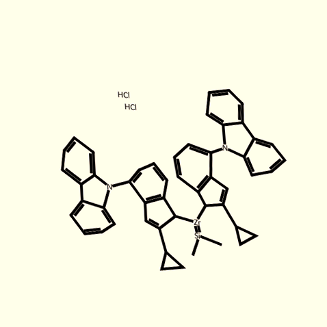 C[Si](C)=[Zr]([CH]1C(C2CC2)=Cc2c1cccc2-n1c2ccccc2c2ccccc21)[CH]1C(C2CC2)=Cc2c1cccc2-n1c2ccccc2c2ccccc21.Cl.Cl